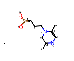 CC1=CN=C(C)CN1CCC=S(=O)=O